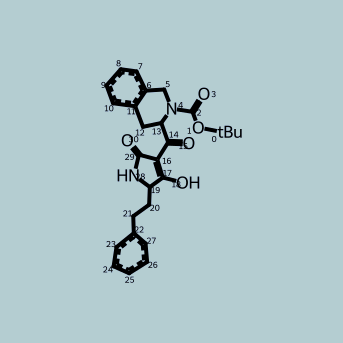 CC(C)(C)OC(=O)N1Cc2ccccc2CC1C(=O)C1=C(O)C(CCc2ccccc2)NC1=O